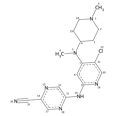 CN1CCC(N(C)c2cc(Nc3cnc(C#N)cn3)ncc2Cl)CC1